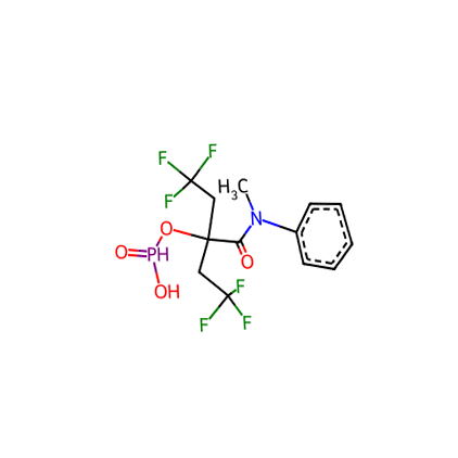 CN(C(=O)C(CC(F)(F)F)(CC(F)(F)F)O[PH](=O)O)c1ccccc1